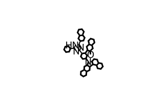 c1ccc(C2N=C(c3ccc(-n4c5cc6ccccc6cc5c5c6ccccc6ccc54)c4oc5cc6ccccc6cc5c34)N=C(c3ccc4ccccc4c3)N2)cc1